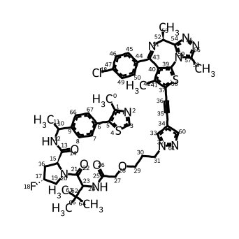 Cc1ncsc1-c1ccc(C(C)NC(=O)[C@@H]2C[C@@H](F)CN2C(=O)C(NC(=O)COCCCn2cc(C#Cc3sc4c(c3C)C(c3ccc(Cl)cc3)=N[C@@H](C)c3nnc(C)n3-4)cn2)C(C)(C)C)cc1